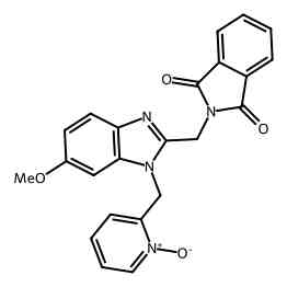 COc1ccc2nc(CN3C(=O)c4ccccc4C3=O)n(Cc3cccc[n+]3[O-])c2c1